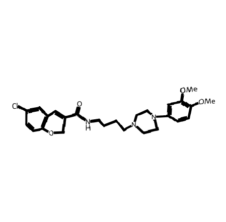 COc1ccc(N2CCN(CCCCNC(=O)C3=Cc4cc(Cl)ccc4OC3)CC2)cc1OC